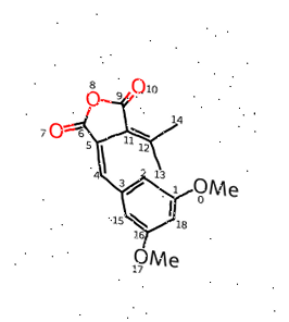 COc1cc(/C=C2/C(=O)OC(=O)C2=C(C)C)cc(OC)c1